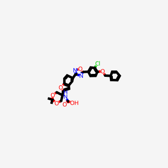 CC1(C)OCC(NC(=O)O)(c2cc3cc(-c4noc(-c5ccc(OCc6ccccc6)c(Cl)c5)n4)ccc3o2)CO1